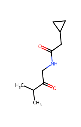 CC(C)C(=O)CNC(=O)CC1CC1